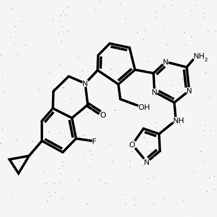 Nc1nc(Nc2cnoc2)nc(-c2cccc(N3CCc4cc(C5CC5)cc(F)c4C3=O)c2CO)n1